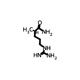 C[C@H](CCCNC(=N)N)C(N)=O